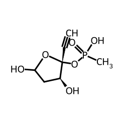 C#C[C@]1(OP(C)(=O)O)OC(O)C[C@@H]1O